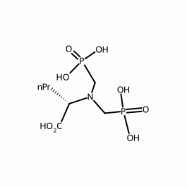 CCC[C@@H](C(=O)O)N(CP(=O)(O)O)CP(=O)(O)O